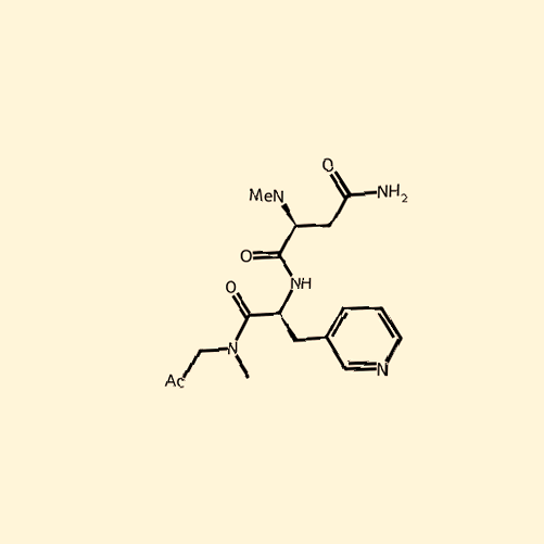 CN[C@@H](CC(N)=O)C(=O)N[C@@H](Cc1cccnc1)C(=O)N(C)CC(C)=O